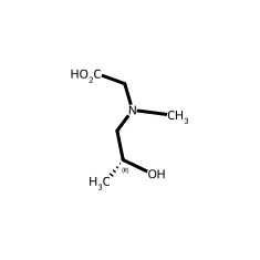 C[C@@H](O)CN(C)CC(=O)O